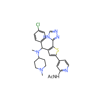 CC(=O)Nc1cc(-c2cc(C(c3ccc(Cl)cc3)N(C)C3CCN(C)CC3)c(-c3nnc[nH]3)s2)ccn1